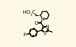 Cc1nc(C(=O)N2CCCC[C@@H]2CC(=O)O)c(-c2ccc(F)cc2)s1